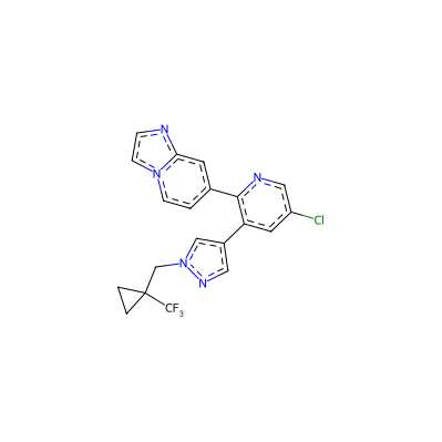 FC(F)(F)C1(Cn2cc(-c3cc(Cl)cnc3-c3ccn4ccnc4c3)cn2)CC1